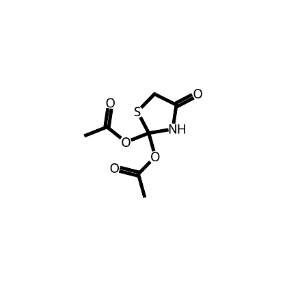 CC(=O)OC1(OC(C)=O)NC(=O)CS1